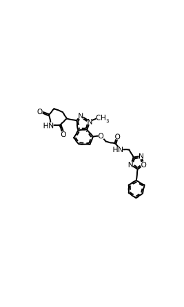 Cn1nc(C2CCC(=O)NC2=O)c2cccc(OCC(=O)NCc3noc(-c4ccccc4)n3)c21